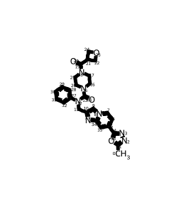 Cc1nnc(-c2ccn3cc(CN(C(=O)N4CCN(C(=O)C5COC5)CC4)c4ccccc4)nc3c2)o1